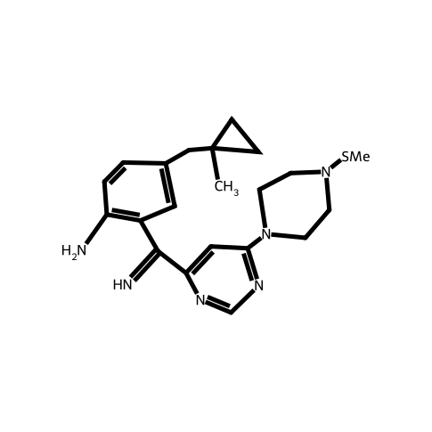 CSN1CCN(c2cc(C(=N)c3cc(CC4(C)CC4)ccc3N)ncn2)CC1